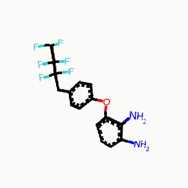 Nc1cccc(Oc2ccc(CC(F)(F)C(F)(F)C(F)F)cc2)c1N